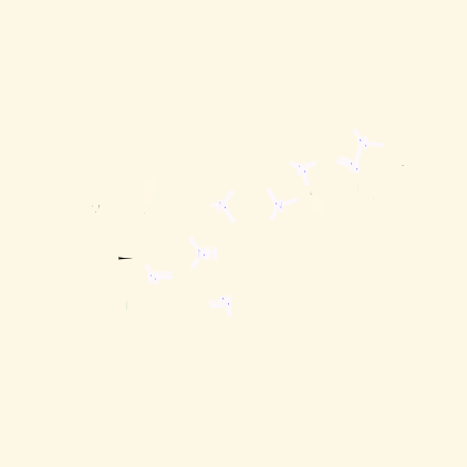 COC(=O)C1=C(CN2CCN3C(=O)N(c4ccn(CC5(C(=O)O)CC5)n4)C[C@@H]3C2)NC(c2nccs2)=N[C@H]1c1ccc(F)cc1Cl